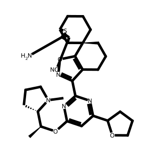 C[C@H](Oc1cc(C2CCCO2)nc(-c2noc3c2CCC[C@@]32CCCc3sc(N)c(C#N)c32)n1)[C@@H]1CCCN1C